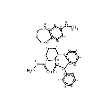 COC(=O)[C@@H]1C[C@H](N2CCCOc3cc(OC)ccc32)CCN1C(=O)C(c1ccccc1)c1ccccc1